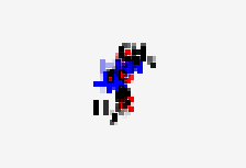 COc1ccc(-c2nc3c(C(=O)Nc4cnccc4OC)ccnc3[nH]2)cc1